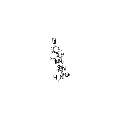 Cc1nn(Cc2nc(C(N)=O)cs2)c(C)c1-c1ccc(C#N)cc1